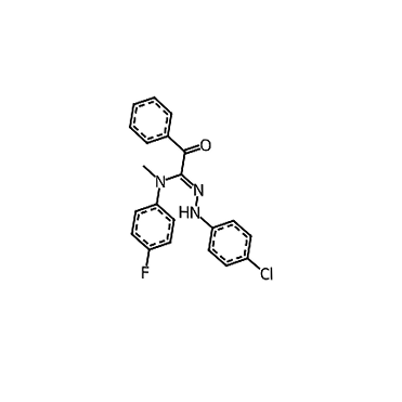 CN(C(=NNc1ccc(Cl)cc1)C(=O)c1ccccc1)c1ccc(F)cc1